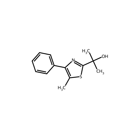 Cc1sc(C(C)(C)O)nc1-c1ccccc1